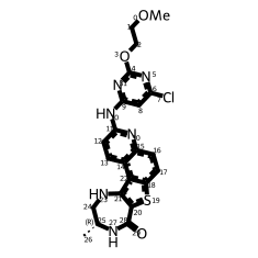 COCCOc1nc(Cl)cc(Nc2ccc3c(ccc4sc5c(c43)NC[C@@H](C)NC5=O)n2)n1